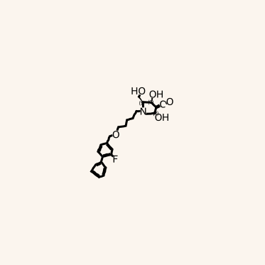 O=C=C1[C@@H](O)CN(CCCCCOCc2ccc(-c3ccccc3)c(F)c2)[C@@H](CO)[C@H]1O